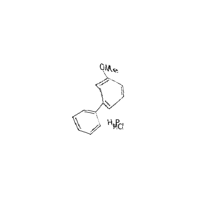 COc1cccc(-c2ccccc2)c1.Cl.P